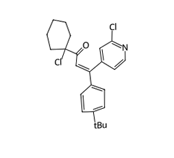 CC(C)(C)c1ccc(/C(=C/C(=O)C2(Cl)CCCCC2)c2ccnc(Cl)c2)cc1